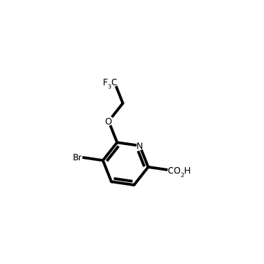 O=C(O)c1ccc(Br)c(OCC(F)(F)F)n1